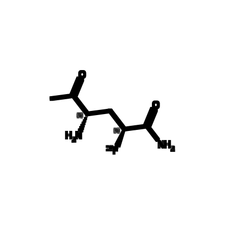 CC(=O)[C@@H](N)C[C@H]([18F])C(N)=O